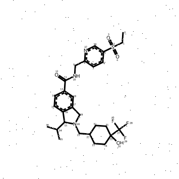 CCS(=O)(=O)c1ccc(CNC(=O)c2ccc3c(c2)CN(CC2CCC(O)(C(F)(F)F)CC2)C3C(C)C)nc1